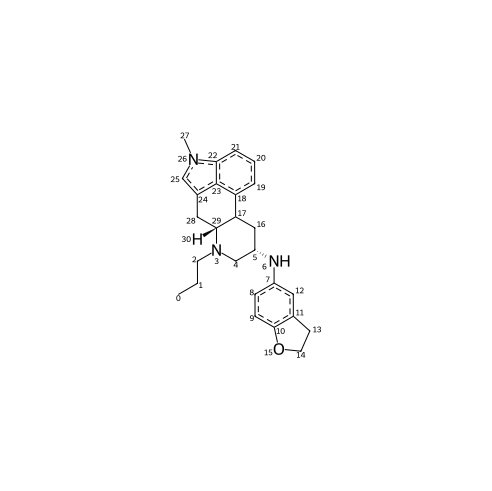 CCCN1C[C@@H](Nc2ccc3c(c2)CCO3)CC2c3cccc4c3c(cn4C)C[C@H]21